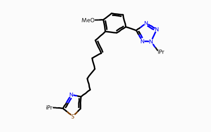 COc1ccc(-c2nnn(C(C)C)n2)cc1/C=C/CCCCc1csc(C(C)C)n1